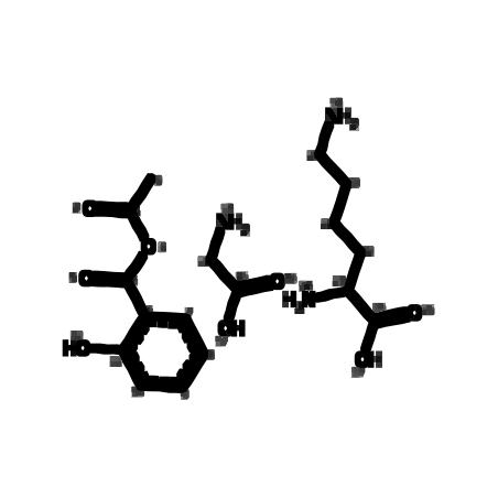 CC(=O)OC(=O)c1ccccc1O.NCC(=O)O.NCCCCC(N)C(=O)O